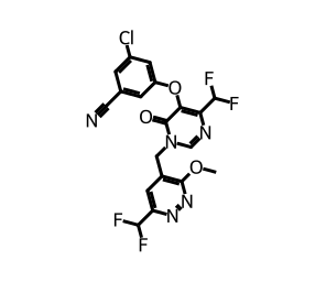 COc1nnc(C(F)F)cc1Cn1cnc(C(F)F)c(Oc2cc(Cl)cc(C#N)c2)c1=O